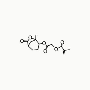 C=C(C)C(=O)OCC(=O)OC1CCC2CC1(C)OC2=O